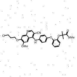 CNC(=O)C(C)(C)Oc1ccccc1Oc1ccc(Nc2c(C#N)cnc3cc(OCCCCl)c(OC)cc23)cc1